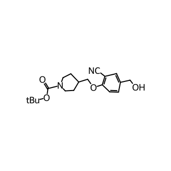 CC(C)(C)OC(=O)N1CCC(COc2ccc(CO)cc2C#N)CC1